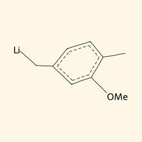 [Li][CH2]c1ccc(C)c(OC)c1